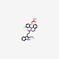 Cc1[nH]c2ccccc2c1CCC(=O)N1CCc2ccccc2C1c1cc(F)ccc1OCC(=O)O